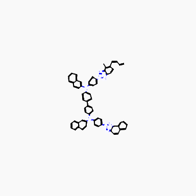 C=C/C=C\c1ccc2nn(-c3ccc(N(c4ccc(-c5ccc(N(c6ccc(-n7nc8ccc9ccccc9c8n7)cc6)c6ccc7ccccc7c6)cc5)cc4)c4ccc5ccccc5c4)cc3)nc2c1C